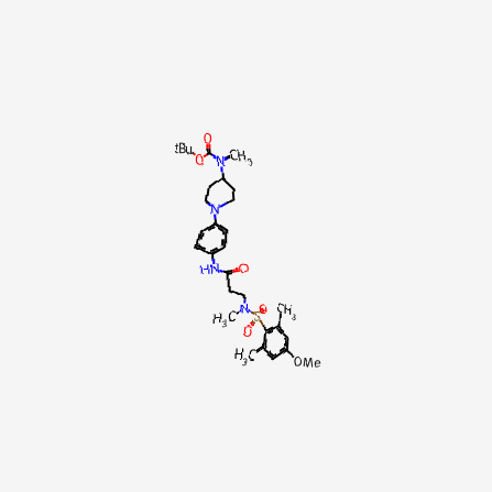 COc1cc(C)c(S(=O)(=O)N(C)CCC(=O)Nc2ccc(N3CCC(N(C)C(=O)OC(C)(C)C)CC3)cc2)c(C)c1